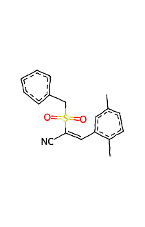 Cc1ccc(C)c(C=C(C#N)S(=O)(=O)Cc2ccccc2)c1